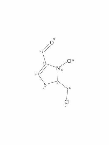 O=CC1=CSC(CCl)N1Cl